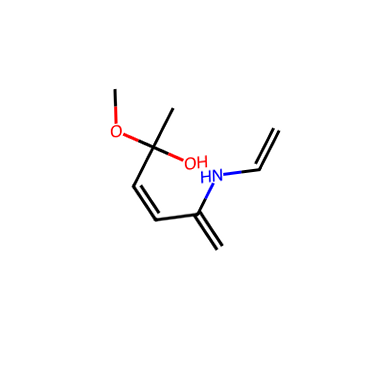 C=CNC(=C)/C=C\C(C)(O)OC